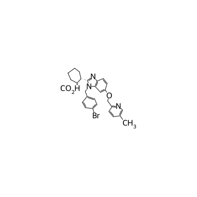 Cc1ccc(COc2ccc3nc([C@H]4CCCC[C@@H]4C(=O)O)n(Cc4ccc(Br)cc4)c3c2)nc1